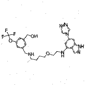 C[C@@H](CCCOCCNc1cc(-n2cnnc2)cc2[nH]ncc12)NCc1cc(CO)cc(OC(F)(F)F)c1